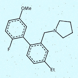 CCc1ccc(-c2cc(OC)ccc2F)c(CN2CCCC2)c1